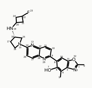 Cc1nc2c(C)c(O)c(-c3ccc4nc(N5CC[C@H](NC6CC(F)C6)C5)ccc4n3)cc2o1